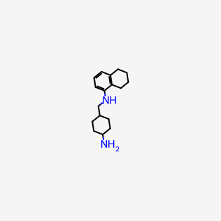 NC1CCC(CNc2cccc3c2CCCC3)CC1